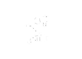 CC[C@H]1CC[C@@H](N[C@H]2CCCC[C@@H]2Cc2ccc3c(c2)CN(C2CCC(=O)NC2=O)C3=O)CC1